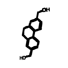 OCc1ccc2c(c1)CCc1cc(CO)ccc1-2